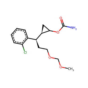 COCOCC[C@@H](c1ccccc1Cl)[C@H]1CC1OC(N)=O